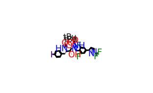 CC(C)(C)OC(=O)N[C@@H](Cc1ccc(I)cc1)[C@@H](O)CN(Cc1c(F)cc(-c2ccn(C(F)F)n2)cc1F)NC(=O)OC(C)(C)C